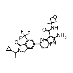 CC(C1CC1)N1Cc2cc(-c3ccn4nc(N)c(C(=O)NC5(C)COC5)c4n3)cc(C(F)(F)F)c2C1=O